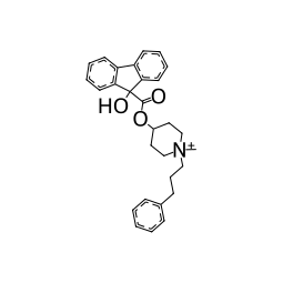 C[N+]1(CCCc2ccccc2)CCC(OC(=O)C2(O)c3ccccc3-c3ccccc32)CC1